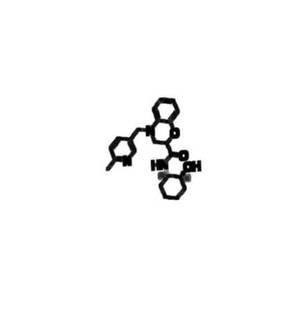 Cc1ccc(CN2CC(C(=O)N[C@H]3CCCC[C@@H]3O)Oc3ccccc32)cn1